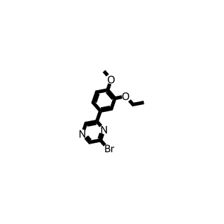 CCOc1cc(-c2cncc(Br)n2)ccc1OC